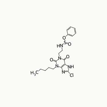 CCCCCn1c(=O)n(CCNS(=O)Oc2ccccc2)c(=O)c2[nH]c(Cl)nc21